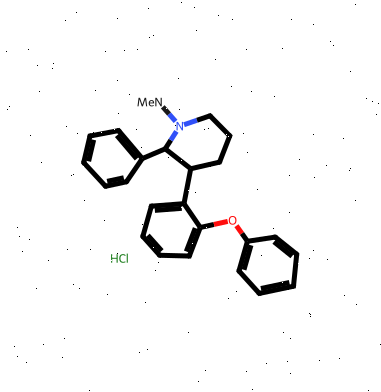 CNN1CCCC(c2ccccc2Oc2ccccc2)C1c1ccccc1.Cl